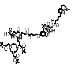 Cc1cc(OCCCC(=O)NCCNC(=O)C(CS(=O)(=O)O)NC(=O)CCC(C(=O)OC(C)(C)C)N2CCN(CC(=O)OC(C)(C)C)CCN(CC(=O)OC(C)(C)C)CC2)cc(C)c1S(=O)(=O)N/C(=C/NC(=O)CCCCc1ccc2c(n1)NCCC2)C(=O)OC(C)(C)C